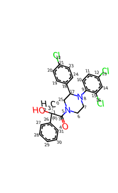 C[C@](O)(C(=O)N1CCN(c2ccc(Cl)cc2Cl)C(c2ccc(Cl)cc2)C1)c1ccccc1